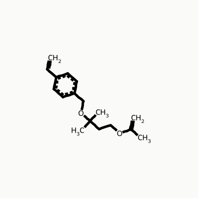 C=Cc1ccc(COC(C)(C)CCOC(=C)C)cc1